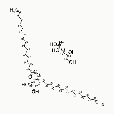 CCCCCCCCCCCCCCCCCC(=O)OC(C(=O)CCCCCCCCCCCCCCCCC)C(O)CO.O=P(O)(O)OCC(O)CO